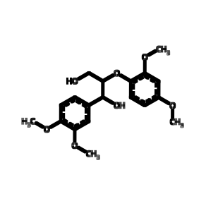 COc1ccc(OC(CO)C(O)c2ccc(OC)c(OC)c2)c(OC)c1